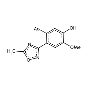 COc1cc(-c2noc(C)n2)c(C(C)=O)cc1O